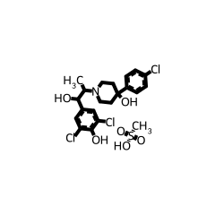 CC(C(O)c1cc(Cl)c(O)c(Cl)c1)N1CCC(O)(c2ccc(Cl)cc2)CC1.CS(=O)(=O)O